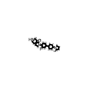 C[C@@H]1CCCN1C1CCC(c2ccc(N3CCC4(CCNCC4)C3=O)c(F)c2)CC1